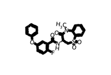 CN1C(=O)[C@@H](NC(=O)c2cc(Oc3ccccc3)ccc2F)CS(=O)(=O)c2ccccc21